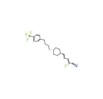 N#CC(F)=CC=C[C@H]1CC[C@H](CCCCc2ccc(C(F)(F)F)cc2)CC1